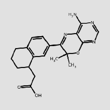 CC1(C)Oc2ncnc(N)c2N=C1c1ccc2c(c1)C(CC(=O)O)CCC2